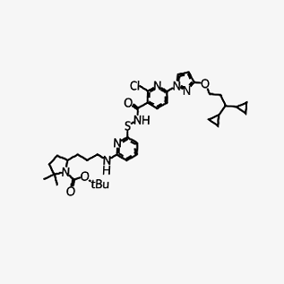 CC(C)(C)OC(=O)N1C(CCCNc2cccc(SNC(=O)c3ccc(-n4ccc(OCCC(C5CC5)C5CC5)n4)nc3Cl)n2)CCC1(C)C